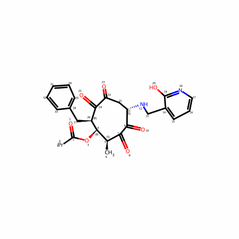 CC(C)C(=O)O[C@@H]1[C@H](C)C(=O)C(=O)[C@@H](NCc2cccnc2O)CC(=O)C(=O)[C@@H]1Cc1ccccc1